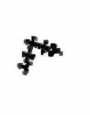 FC(F)F.F[B-](F)(F)F.F[B-](F)(F)F.F[B-](F)(F)F.O=[SH2]=O